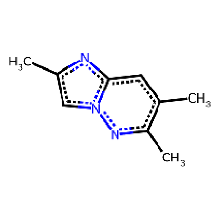 Cc1cn2nc(C)c(C)cc2n1